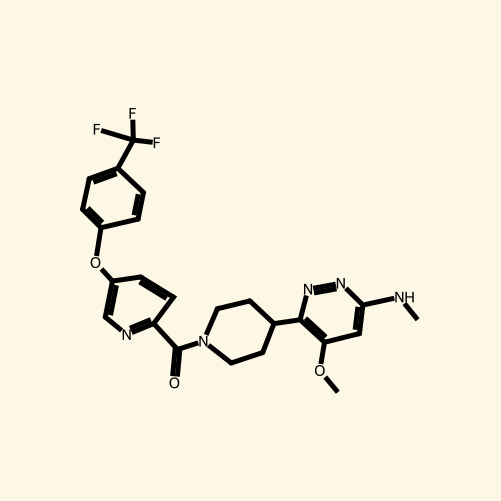 CNc1cc(OC)c(C2CCN(C(=O)c3ccc(Oc4ccc(C(F)(F)F)cc4)cn3)CC2)nn1